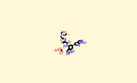 C[C@@H]1CN(Cc2nc(C(=O)Nc3cc(-c4cnc5[nH]ncc5c4)cc4[nH]ncc34)cs2)C[C@H](C)O1.O=CO